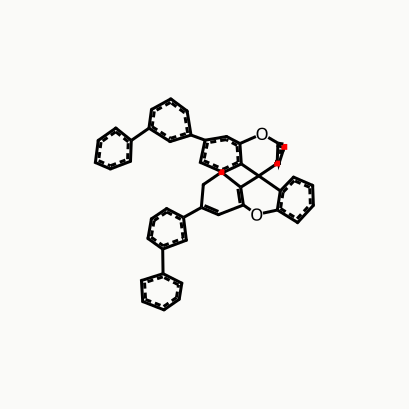 C1=C(c2cccc(-c3ccccc3)c2)CCC2=C1Oc1ccccc1C21c2ccccc2Oc2cc(-c3cccc(-c4ccccc4)c3)ccc21